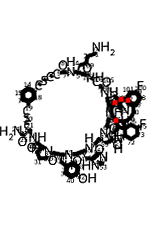 NCCCC[C@@H]1NC(=O)CCSCc2cccc(c2)CSC[C@@H](C(N)=O)NC(=O)[C@@H]2CCCN2C(=O)[C@H](Cc2ccc(O)cc2)NC(=O)[C@@H](Cc2cnc[nH]2)NC(=O)[C@H](CC(=O)O)NC(=O)[C@H](CC2CNC3CCC(F)CC23C2CCCCCCCCC2)NC(=O)[C@H](Cc2c[nH]c3ccc(F)cc23)NC(=O)CNC1=O